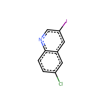 Clc1ccc2ncc(I)cc2c1